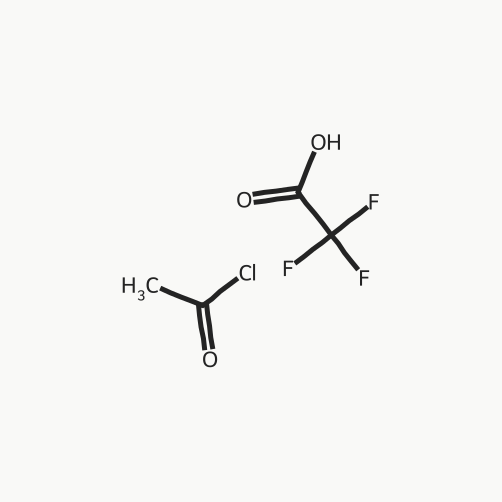 CC(=O)Cl.O=C(O)C(F)(F)F